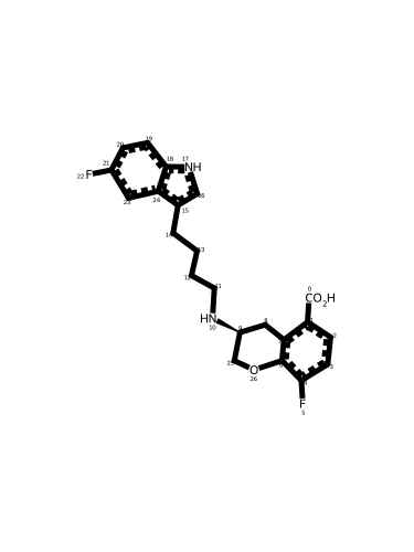 O=C(O)c1ccc(F)c2c1C[C@H](NCCCCc1c[nH]c3ccc(F)cc13)CO2